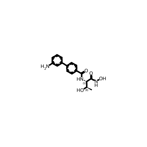 C[C@@H](O)[C@H](NC(=O)c1ccc(-c2cccc(N)c2)cc1)C(=O)NO